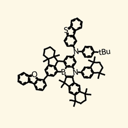 CC(C)(C)c1ccc(N(c2cc3c4c(c2)N(c2ccc5c(c2)C(C)(C)CCC5(C)C)C2=C(B4c4cc(-c5cccc6c5oc5ccccc56)cc5c4C3C3(C)CCCCC53C)C(C)(C)c3cc4c(cc32)C(C)(C)CCC4(C)C)c2ccc3sc4ccccc4c3c2)cc1